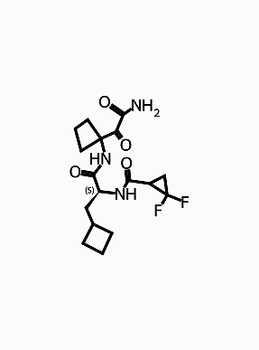 NC(=O)C(=O)C1(NC(=O)[C@H](CC2CCC2)NC(=O)C2CC2(F)F)CCC1